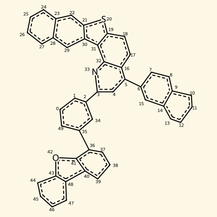 c1cc(-c2cc(-c3ccc4ccccc4c3)c3ccc4sc5cc6ccccc6cc5c4c3n2)cc(-c2cccc3c2oc2ccccc23)c1